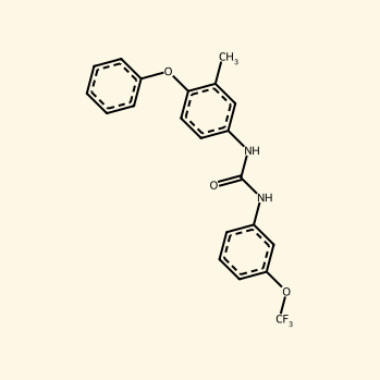 Cc1cc(NC(=O)Nc2cccc(OC(F)(F)F)c2)ccc1Oc1ccccc1